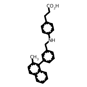 Cc1ccc2ccccc2c1-c1cccc(CNc2ccc(CCC(=O)O)cc2)c1